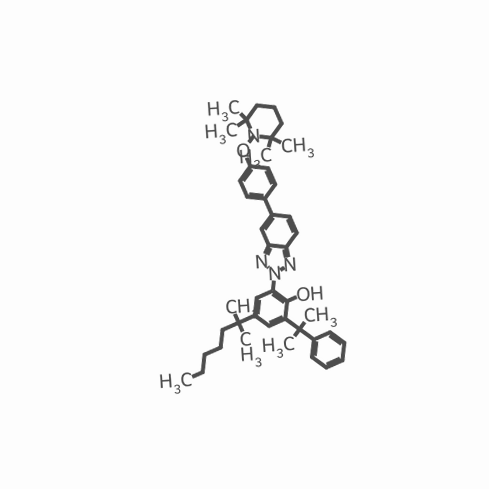 CCCCCC(C)(C)c1cc(-n2nc3ccc(-c4ccc(ON5C(C)(C)CCCC5(C)C)cc4)cc3n2)c(O)c(C(C)(C)c2ccccc2)c1